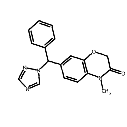 CN1C(=O)COc2cc(C(c3ccccc3)n3cncn3)ccc21